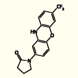 O=C1CCCN1c1ccc2c(c1)Nc1ccc(C(F)(F)F)cc1O2